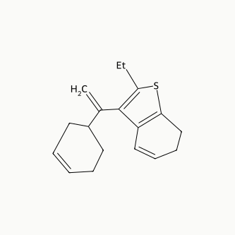 C=C(c1c(CC)sc2c1C=CCC2)C1CC=CCC1